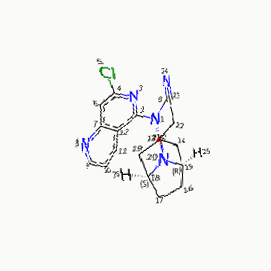 CN(c1nc(Cl)cc2ncccc12)[C@@H]1C[C@H]2CC[C@@H](C1)N2CCC#N